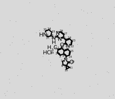 Cc1ccc2c(N3CCC4(CC4)C3=O)cccc2c1Oc1ncccc1-c1ccnc(N[C@H]2CCCNC2)n1.Cl